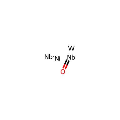 [Nb].[Ni].[O]=[Nb].[W]